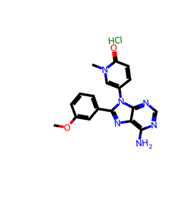 COc1cccc(-c2nc3c(N)ncnc3n2-c2ccc(=O)n(C)c2)c1.Cl